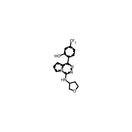 Oc1cc(C(F)(F)F)ccc1-c1nnc(NC2CCOC2)n2cccc12